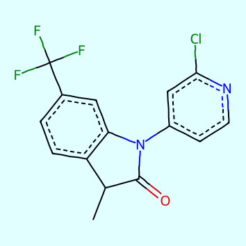 CC1C(=O)N(c2ccnc(Cl)c2)c2cc(C(F)(F)F)ccc21